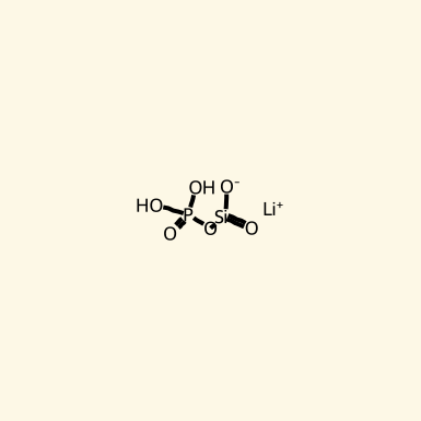 O=[Si]([O-])OP(=O)(O)O.[Li+]